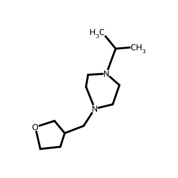 CC(C)N1CCN(CC2CCOC2)CC1